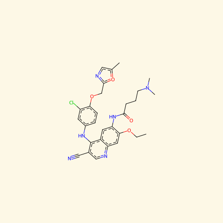 CCOc1cc2ncc(C#N)c(Nc3ccc(OCc4ncc(C)o4)c(Cl)c3)c2cc1NC(=O)CCCN(C)C